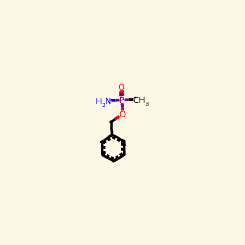 CP(N)(=O)OCc1ccccc1